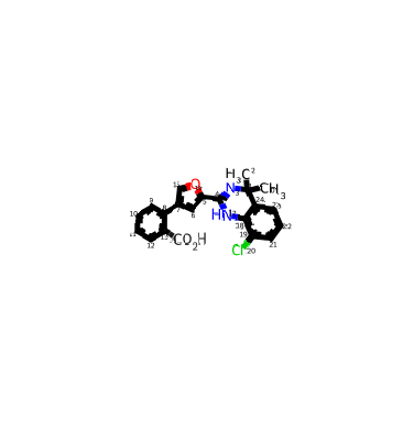 CC1(C)N=C(c2cc(-c3ccccc3C(=O)O)co2)Nc2c(Cl)cccc21